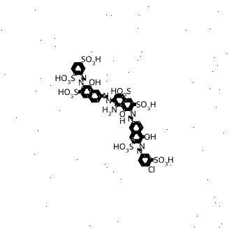 Nc1c(N=Nc2ccc3cc(S(=O)(=O)O)c(N=Nc4cc(S(=O)(=O)O)ccc4S(=O)(=O)O)c(O)c3c2)c(S(=O)(=O)O)cc2cc(S(=O)(=O)O)c(N=Nc3ccc4c(O)c(N=Nc5ccc(Cl)c(S(=O)(=O)O)c5)c(S(=O)(=O)O)cc4c3)c(O)c12